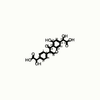 O=C(O)C(O)c1ccc(-c2coc3cc(C(O)C(=O)O)cc(O)c3c2=O)cc1